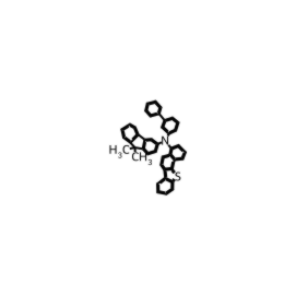 CC1(C)c2ccccc2-c2cc(N(c3cccc(-c4ccccc4)c3)c3cccc4c3ccc3c5ccccc5sc43)ccc21